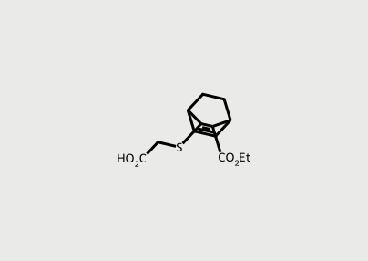 CCOC(=O)C1=C(SCC(=O)O)C2C=CC1CC2